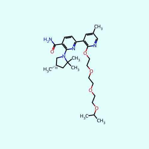 Cc1cnc(OCCOCCOCCOC(C)C)c(-c2ccc(C(N)=O)c(N3C[C@@H](C)CC3(C)C)n2)c1